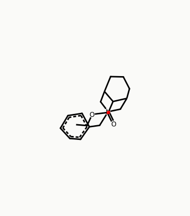 CCOC(=O)C1C2CCCC1CN(Cc1ccccc1)C2